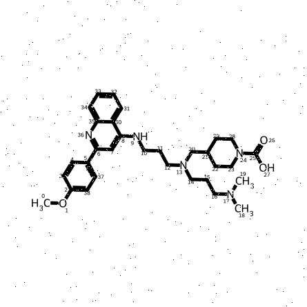 COc1ccc(-c2cc(NCCCN(CCCN(C)C)CC3CCN(C(=O)O)CC3)c3ccccc3n2)cc1